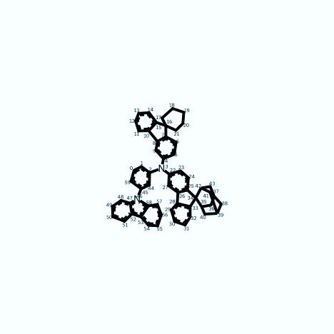 c1cc(N(c2ccc3c(c2)-c2ccccc2C32CCCCC2)c2ccc3c(c2)-c2ccccc2C32C3CC4CC(C3)CC2C4)cc(-n2c3ccccc3c3ccccc32)c1